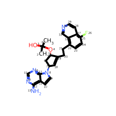 CC(C)(O)O[C@H]1C[C@H](n2ccc3c(N)ncnc32)C=C1CCc1ccc(F)c2ccncc12